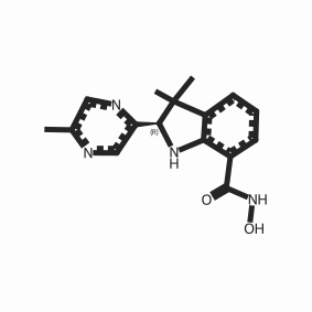 Cc1cnc([C@@H]2Nc3c(C(=O)NO)cccc3C2(C)C)cn1